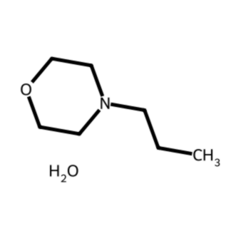 CCCN1CCOCC1.O